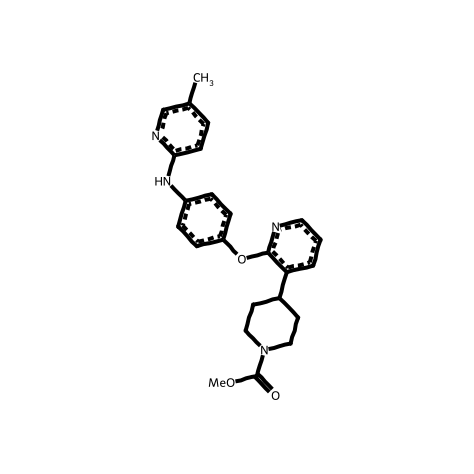 COC(=O)N1CCC(c2cccnc2Oc2ccc(Nc3ccc(C)cn3)cc2)CC1